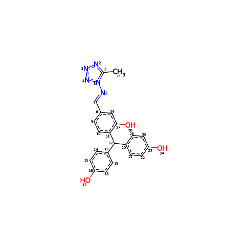 Cc1nnnn1N=Cc1ccc(C(c2ccc(O)cc2)c2ccc(O)cc2)c(O)c1